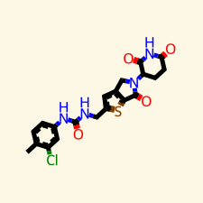 Cc1ccc(NC(=O)NCc2cc3c(s2)C(=O)N(C2CCC(=O)NC2=O)C3)cc1Cl